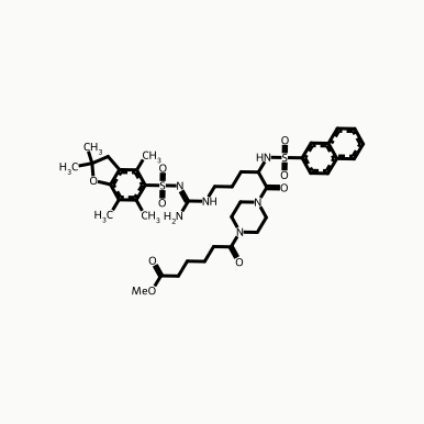 COC(=O)CCCCC(=O)N1CCN(C(=O)C(CCCNC(N)=NS(=O)(=O)c2c(C)c(C)c3c(c2C)CC(C)(C)O3)NS(=O)(=O)c2ccc3ccccc3c2)CC1